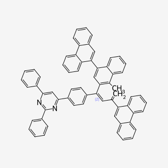 C=C(/C=C(/c1ccc(-c2cc(-c3ccccc3)nc(-c3ccccc3)n2)cc1)c1cc(-c2cc3ccccc3c3ccccc23)c2ccccc2c1C)c1cc2ccccc2c2ccccc12